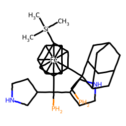 C[Si](C)(C)[C]12[CH]3[C]4(C(P)(C5CCNC5)C5CCNC5)[C]5(C6(CP)C7CC8CC(C7)CC6C8)[CH]1[Fe]34521678[CH]2[CH]1[CH]6[CH]7[CH]28